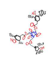 CC(C)(C)c1cc(CC(=O)OCCn2c(=O)n(CCOC(=O)Cc3cc(C(C)(C)C)c(O)c(C(C)(C)C)c3)c(=O)n(CCOC(=O)Cc3cc(C(C)(C)C)c(O)c(C(C)(C)C)c3)c2=O)cc(C(C)(C)C)c1O